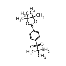 BC(C)(C)S(=O)(=O)c1ccc(B2OC(C)(C)C(C)(C)O2)cc1